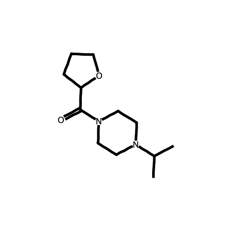 CC(C)N1CCN(C(=O)C2CCCO2)CC1